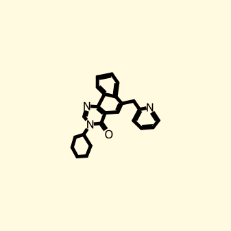 O=c1c2cc(Cc3ccccn3)c3ccccc3c2ncn1C1CCCCC1